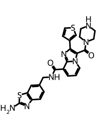 Nc1nc2ccc(CNC(=O)c3cccn4c(C(=O)N5CCNCC5)c(-c5ccsc5)nc34)cc2s1